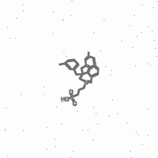 Cc1cccc(CC2(Cc3cccc(C)c3)C[N+](CCCS(=O)(=O)O)=Cc3ccccc32)c1